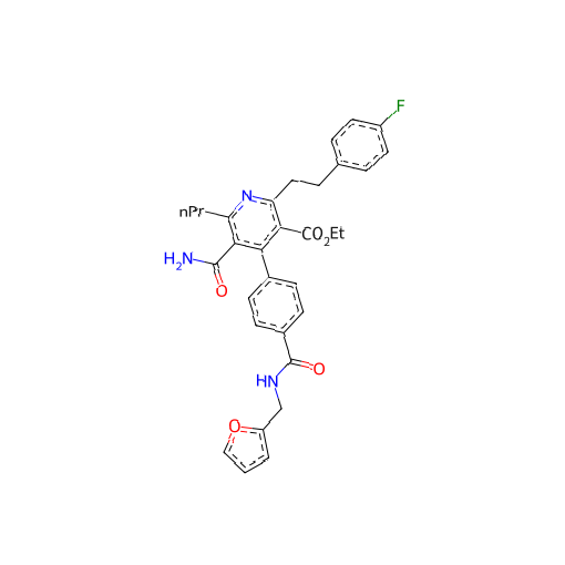 CCCc1nc(CCc2ccc(F)cc2)c(C(=O)OCC)c(-c2ccc(C(=O)NCc3ccco3)cc2)c1C(N)=O